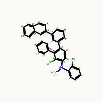 CN(c1ccccc1F)c1ccc(-c2cccc(-c3ccc4ccccc4c3)c2)c(-c2ccccc2)c1F